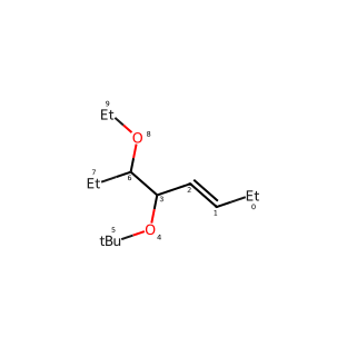 CC/C=C/C(OC(C)(C)C)C(CC)OCC